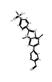 Cc1cc(-c2ccc(C=O)cc2)cc2c1nc(-c1ccc(S(C)(=O)=O)cc1)n2C